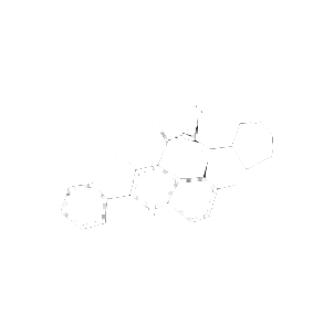 Cc1c(-c2ccccc2)nc2ccc(F)c([C@@H](C(N)=O)C3CCCCC3)c2c1C(=O)O